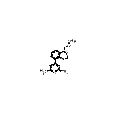 CNC[C@H]1OCCc2c(-c3cc(C)nc(C)c3)cccc21